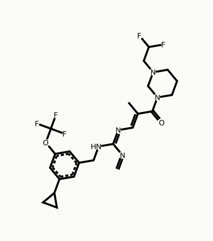 C=N/C(=N\C=C(/C)C(=O)N1CCCN(CC(F)F)C1)NCc1cc(OC(F)(F)F)cc(C2CC2)c1